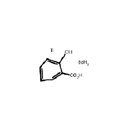 O=C(O)c1ccccc1O.[BaH2].[Ti]